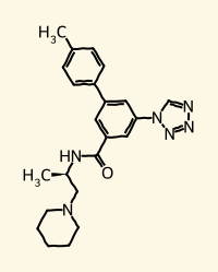 Cc1ccc(-c2cc(C(=O)N[C@H](C)CN3CCCCC3)cc(-n3cnnn3)c2)cc1